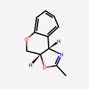 CC1=N[C@H]2c3ccccc3OC[C@H]2O1